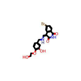 O=C1NC(=O)c2ccc(Br)cc2C1=CNCc1ccc(OCCO)c(O)c1